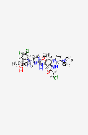 COc1cc(N2CC[C@@H](N(C)C)C2)c(NC(=O)CCCl)cc1Nc1nccc(Nc2cc(Cl)c(F)cc2C(C)(C)O)n1